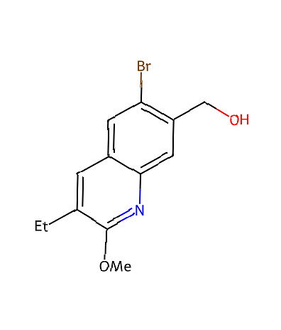 CCc1cc2cc(Br)c(CO)cc2nc1OC